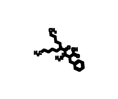 CCCCCN(CCCCC)C(=O)[C@@H](N)C(Cc1ccccc1)C(=O)O